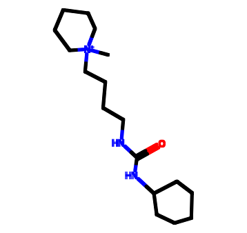 C[N+]1(CCCCNC(=O)NC2CCCCC2)CCCCC1